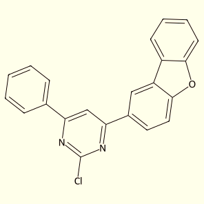 Clc1nc(-c2ccccc2)cc(-c2ccc3oc4ccccc4c3c2)n1